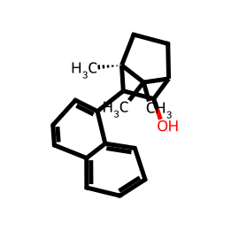 CC1(C)C2CC[C@]1(C)C(c1cccc3ccccc13)C2O